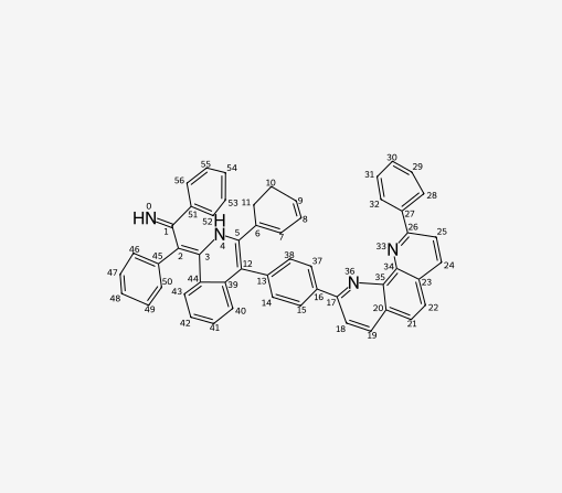 N=C(/C(=C1\NC(C2=CC=CCC2)=C(c2ccc(-c3ccc4ccc5ccc(-c6ccccc6)nc5c4n3)cc2)c2ccccc21)c1ccccc1)c1ccccc1